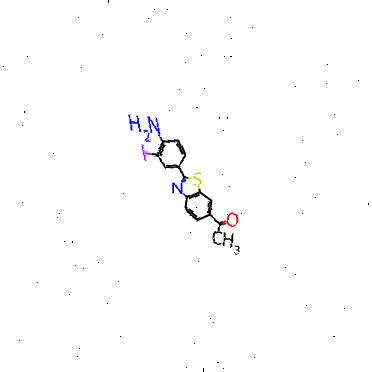 CC(=O)c1ccc2nc(-c3ccc(N)c(I)c3)sc2c1